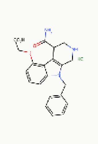 Cl.NC(=O)C1CNCc2c1c1c(OCC(=O)O)cccc1n2Cc1ccccc1